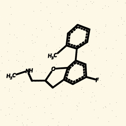 CNCC1Cc2cc(F)cc(-c3ccccc3C)c2O1